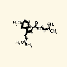 Cc1ccc2c(c1)c(CCN(C)C)cn2C(=O)OCCN(C)C